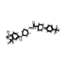 O=C(NC[C@H]1CC[C@H](Nc2ccc([N+](=O)[O-])c(C(F)(F)F)c2)CC1)C1CCN(c2ccc(C(F)(F)F)cc2)CC1